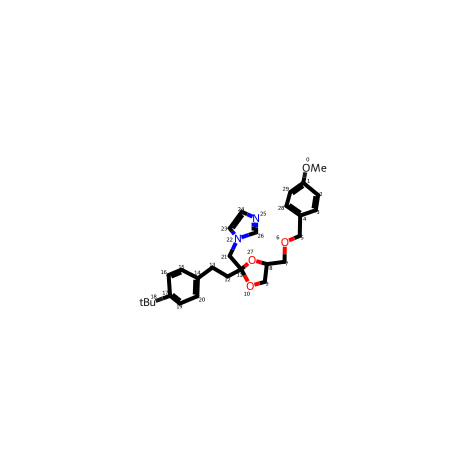 COc1ccc(COCC2COC(CCc3ccc(C(C)(C)C)cc3)(Cn3ccnc3)O2)cc1